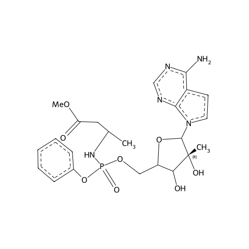 COC(=O)CC(C)NP(=O)(OCC1OC(n2ccc3c(N)ncnc32)[C@](C)(O)C1O)Oc1ccccc1